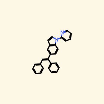 C(=C(c1ccccc1)c1ccc2c(ccn2-c2ccccn2)c1)c1ccccc1